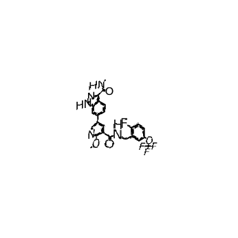 CNC(=O)c1n[nH]c2cc(-c3cnc(OC)c(C(=O)NCc4cc(OC(F)(F)F)ccc4F)c3)ccc12